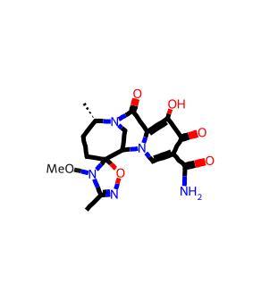 CON1C(C)=NOC12CC[C@H](C)N1CC2n2cc(C(N)=O)c(=O)c(O)c2C1=O